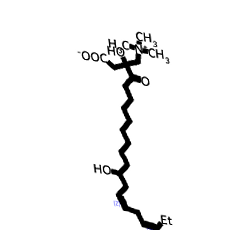 CC/C=C\C/C=C\CC(O)CCCCCCCCC(=O)C(O)(CC(=O)[O-])C[N+](C)(C)C